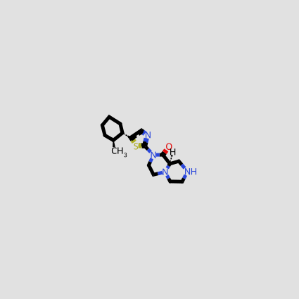 C[C@H]1CCCC[C@@H]1c1cnc(N2CCN3CCNC[C@@H]3C2=O)s1